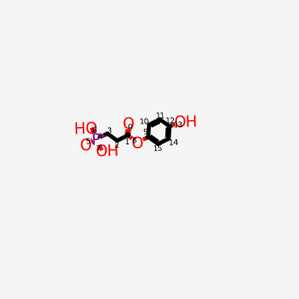 O=C(CCP(=O)(O)O)Oc1ccc(O)cc1